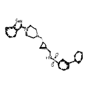 O=S(=O)(NC[C@H]1C[C@@H]1CN1CCN(c2nsc3ccccc23)CC1)c1cccc(-c2ccccc2)c1